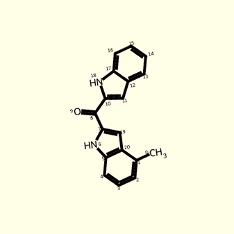 CC1=C=C=Cc2[nH]c(C(=O)c3cc4ccccc4[nH]3)cc21